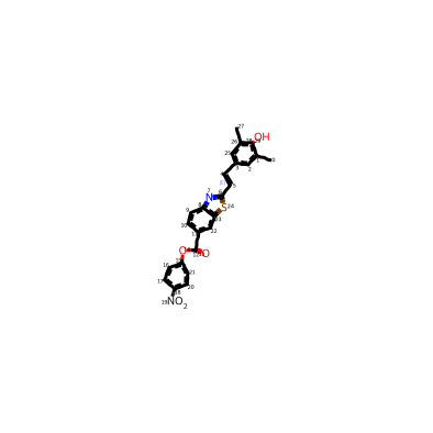 Cc1cc(/C=C/c2nc3ccc(C(=O)Oc4ccc([N+](=O)[O-])cc4)cc3s2)cc(C)c1O